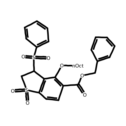 CCCCCCCCOc1c(C(=O)OCc2ccccc2)ccc2c1C(S(=O)(=O)c1ccccc1)CS2(=O)=O